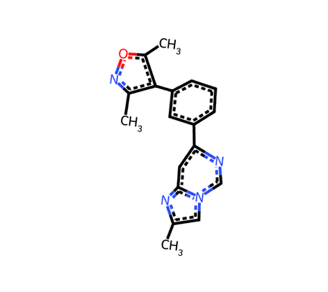 Cc1cn2cnc(-c3cccc(-c4c(C)noc4C)c3)cc2n1